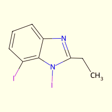 CCc1nc2cccc(I)c2n1I